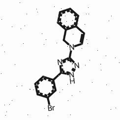 Brc1cccc(-c2nc(N3C=Cc4ccccc4C3)n[nH]2)c1